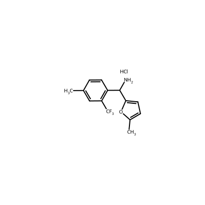 Cc1ccc(C(N)c2ccc(C)o2)c(C(F)(F)F)c1.Cl